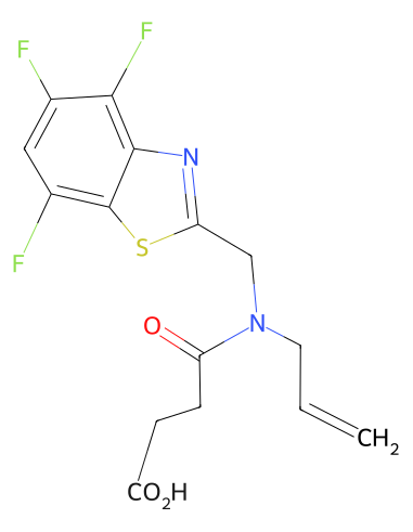 C=CCN(Cc1nc2c(F)c(F)cc(F)c2s1)C(=O)CCC(=O)O